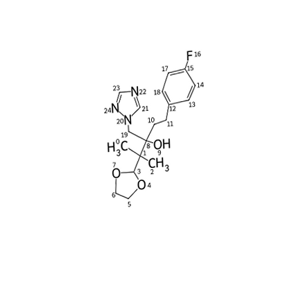 CC(C)(C1OCCO1)C(O)(CCc1ccc(F)cc1)Cn1cncn1